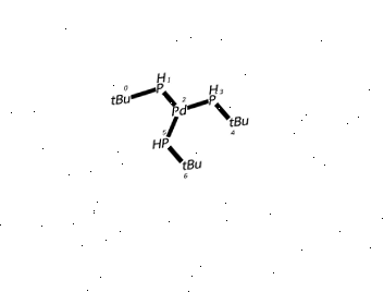 CC(C)(C)[PH][Pd]([PH]C(C)(C)C)[PH]C(C)(C)C